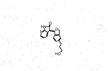 O=C1Nc2ncccc2/C1=C1/OCc2cc(CCCO)ccc21